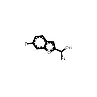 CC[C@H](O)c1cc2ccc(F)cc2o1